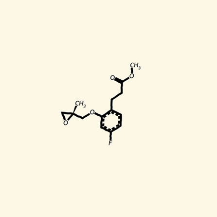 COC(=O)CCc1ccc(F)cc1OC[C@@]1(C)CO1